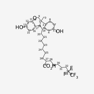 CC1(c2ccc(O)cc2)COc2cc(O)ccc2C1CCCCCCCCC(CCCCCC(F)(F)C(F)(F)F)C(=O)O